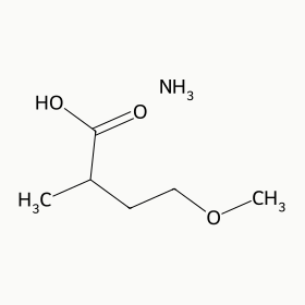 COCCC(C)C(=O)O.N